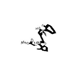 COC(=O)C[C@H](NC(=O)c1cc(O)n(-c2ccccc2F)n1)c1ccccc1C